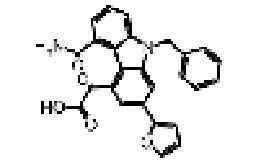 NC(=O)c1cccc2c1c1c(C(=O)C(=O)O)cc(-c3ccco3)cc1n2Cc1ccccc1